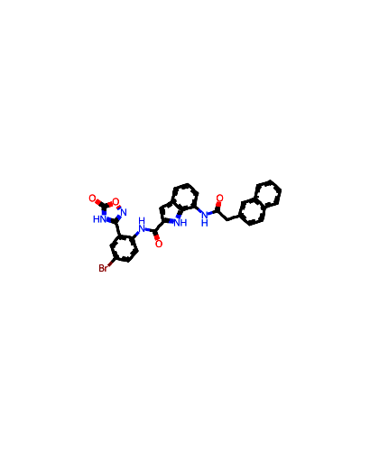 O=C(Cc1ccc2ccccc2c1)Nc1cccc2cc(C(=O)Nc3ccc(Br)cc3-c3noc(=O)[nH]3)[nH]c12